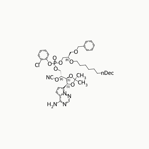 CCCCCCCCCCCCCCCCO[C@H](COCc1ccccc1)COP(=O)(OC[C@@H](OC#N)[C@H]1OC(C)(C)O[C@H]1c1ccc2c(N)ncnn12)Oc1ccccc1Cl